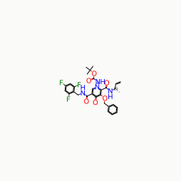 C=C[C@H](C)NC(=O)c1c(OCc2ccccc2)c(=O)c(C(=O)NCc2c(F)cc(F)cc2F)cn1NC(=O)OC(C)(C)C